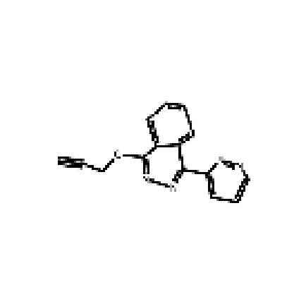 C#CCOc1nnc(-c2cccnn2)c2ccccc12